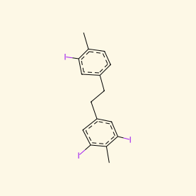 Cc1ccc(CCc2cc(I)c(C)c(I)c2)cc1I